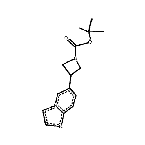 CC(C)(C)OC(=O)N1CC(c2ccc3nccn3c2)C1